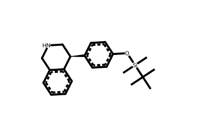 CC(C)(C)[Si](C)(C)Oc1ccc([C@@H]2CNCc3ccccc32)cc1